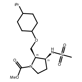 COC(=O)N1CC[C@H](NS(C)(=O)=O)[C@@H]1COC1CCC(C(C)C)CC1